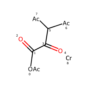 CC(=O)OC(=O)C(=O)C(C(C)=O)C(C)=O.[Cr]